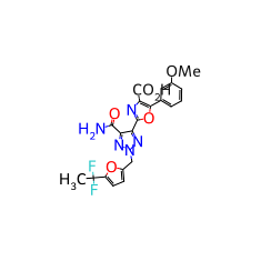 COc1cccc(-c2oc(-c3nn(Cc4ccc(C(C)(F)F)o4)nc3C(N)=O)nc2C(=O)O)c1